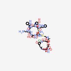 COc1cc2cc(c1Cl)N(C)C(=O)C[C@H](OC(=O)[C@H](C)N(C)C(=O)CCSSC[C@H](NC(=O)[C@@H]1CSSC[C@H](NC(=O)[C@H](N)Cc3ccccc3)C(=O)N[C@@H](Cc3ccc(O)cc3)C(=O)N[C@H](Cc3c[nH]c4ccccc34)C(=O)N[C@@H](CCCCN)C(=O)N[C@@H]([C@@H](C)O)C(=O)N1)C(N)=O)C(C)(C)O[C@H](C)[C@@H]1C[C@@](O)(NC(=O)O1)[C@H](OC)/C=C/C=C(\C)C2